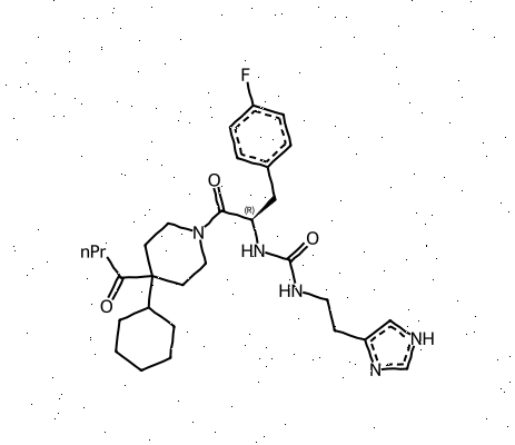 CCCC(=O)C1(C2CCCCC2)CCN(C(=O)[C@@H](Cc2ccc(F)cc2)NC(=O)NCCc2c[nH]cn2)CC1